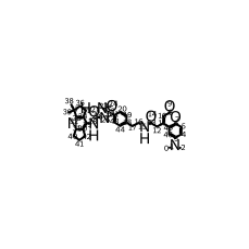 CN(C)c1ccc2oc(=O)cc(CC(=O)NCCc3ccc(S(N)(=O)=NC(=O)Nc4c5c(nc6c4CCC6(C)C)CCC5)cc3)c2c1